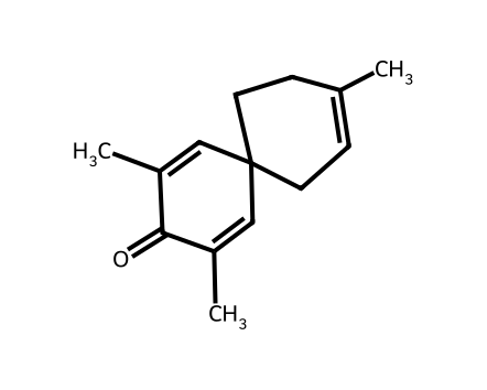 CC1=CCC2(C=C(C)C(=O)C(C)=C2)CC1